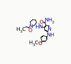 CCC(=O)N1CCC[C@H](CNc2cc(Nc3ccc(OC)cc3)ncc2C(N)=O)C1